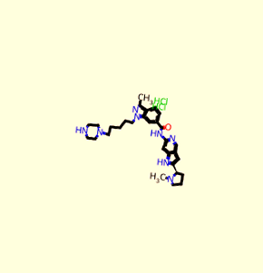 Cc1nn(CCCCCN2CCNCC2)c2cc(C(=O)Nc3cc4[nH]c([C@H]5CCCN5C)cc4cn3)ccc12.Cl.Cl